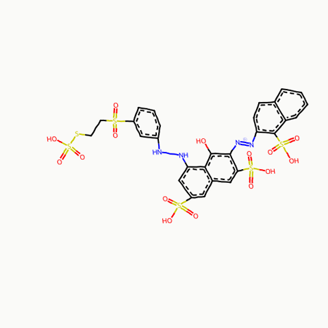 O=S(=O)(O)SCCS(=O)(=O)c1cccc(NNc2cc(S(=O)(=O)O)cc3cc(S(=O)(=O)O)c(/N=N/c4ccc5ccccc5c4S(=O)(=O)O)c(O)c23)c1